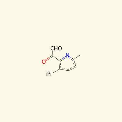 Cc1ccc(C(C)C)c(C(=O)C=O)n1